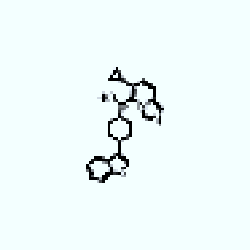 O[C@@H](c1c(C2CC2)ccc2cncn12)C1CCC(c2csc3ccccc23)CC1